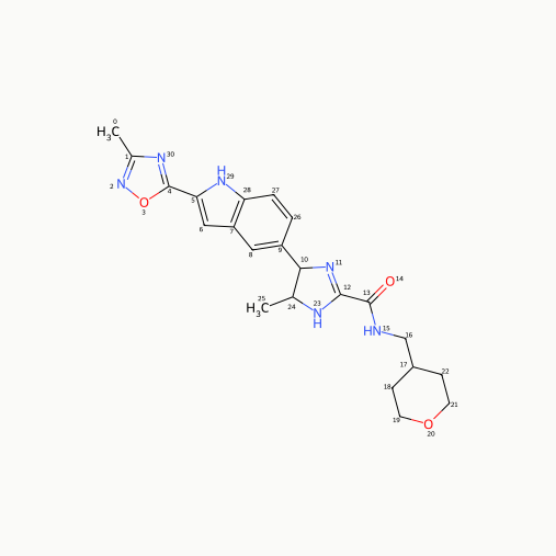 Cc1noc(-c2cc3cc(C4N=C(C(=O)NCC5CCOCC5)NC4C)ccc3[nH]2)n1